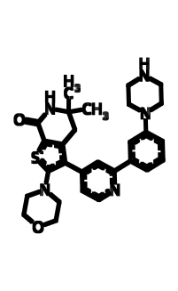 CC1(C)Cc2c(sc(N3CCOCC3)c2-c2ccnc(-c3cccc(N4CCNCC4)c3)c2)C(=O)N1